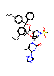 COc1ccc(C(OC[C@@]23CN(S(C)(=O)=O)[C@@H]([C@H](N4C=C(C)C(n5cncn5)NC4=O)O2)[C@@H]3O[Si](C)(C)C)(c2ccccc2)c2ccc(OC)cc2)cc1